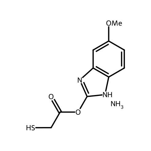 COc1ccc2[nH]c(OC(=O)CS)nc2c1.N